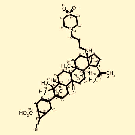 C=C(C)[C@@H]1CCC2(NCCCN3CCS(=O)(=O)CC3)CC[C@]3(C)[C@H](CC[C@@H]4[C@@]5(C)CC=C(C6=CC[C@]7(C(=O)O)C(F)C7C6)C(C)(C)[C@@H]5CC[C@]43C)[C@@H]12